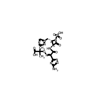 CC(C)(ON=C(C(=O)N[C@@H]1C(=O)N(S(=O)(=O)O)[C@H]1Cn1cncn1)c1nsc(N)n1)C(=O)O